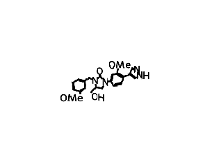 COc1cccc(CN2C(=O)N(c3ccc(-c4cn[nH]c4)c(OC)c3)CC2CO)c1